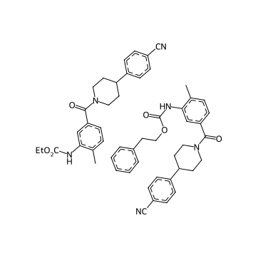 CCOC(=O)Nc1cc(C(=O)N2CCC(c3ccc(C#N)cc3)CC2)ccc1C.Cc1ccc(C(=O)N2CCC(c3ccc(C#N)cc3)CC2)cc1NC(=O)OCCc1ccccc1